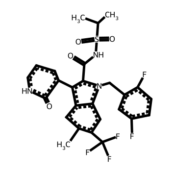 Cc1cc2c(-c3ccc[nH]c3=O)c(C(=O)NS(=O)(=O)C(C)C)n(Cc3cc(F)ccc3F)c2cc1C(F)(F)F